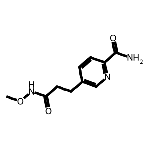 CONC(=O)CCc1ccc(C(N)=O)nc1